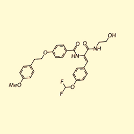 COc1ccc(CCOc2ccc(C(=O)N/C(=C\c3ccc(OC(F)F)cc3)C(=O)NCCO)cc2)cc1